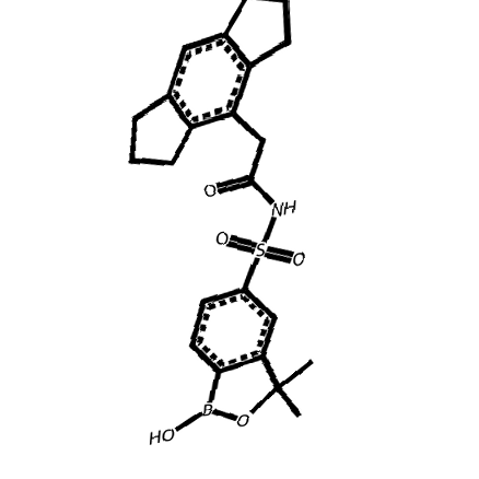 CC1(C)OB(O)c2ccc(S(=O)(=O)NC(=O)Cc3c4c(cc5c3CCC5)CCC4)cc21